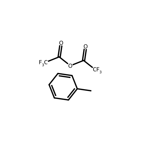 Cc1ccccc1.O=C(OC(=O)C(F)(F)F)C(F)(F)F